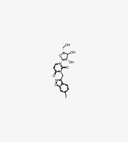 O=c1ccn([C@@H]2O[C@H](CO)C(O)[C@@H]2O)c(=O)n1Cc1noc2cc(F)ccc12